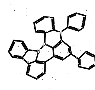 c1ccc(-c2cc3c4c(c2)N(c2ccccc2)c2ccccc2B4n2c4ccccc4c4cccc-3c42)cc1